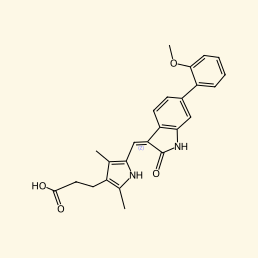 COc1ccccc1-c1ccc2c(c1)NC(=O)/C2=C\c1[nH]c(C)c(CCC(=O)O)c1C